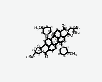 CCCCC(CC)CN1C(=O)c2ccc3c4c(N5CCCC(C)C5)cc5c6c(ccc(c7c(N8CCCC(C)C8)cc(c2c37)C1=O)c64)C(=O)N(CC(CC)CCCC)C5=O